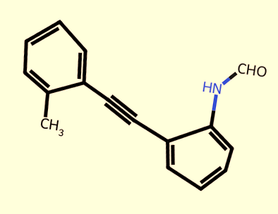 Cc1ccccc1C#Cc1ccccc1NC=O